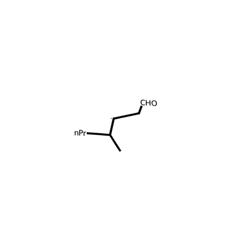 CCCC(C)[CH]CC=O